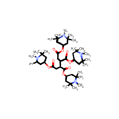 CC(C)C1CC(OC(=O)CC(C(=O)OC2CC(C)(C)N(C)C(C)(C)C2)C(CC(=O)OC2CC(C)(C)N(C)C(C)(C)C2)C(=O)OC2CC(C)(C)N(C)C(C)(C)C2)CC(C)(C)N1C